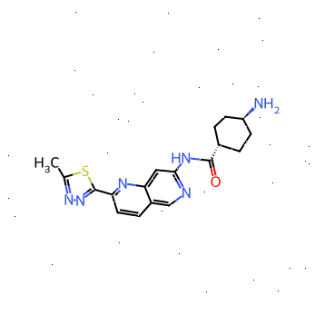 Cc1nnc(-c2ccc3cnc(NC(=O)[C@H]4CC[C@H](N)CC4)cc3n2)s1